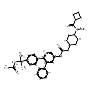 CN(C(=O)C1CCC1)C1CCC(CC(=O)Nc2cnc(-c3ccc(C(C)(C)NC(=O)O)cc3)c(-c3ccccc3)c2)CC1